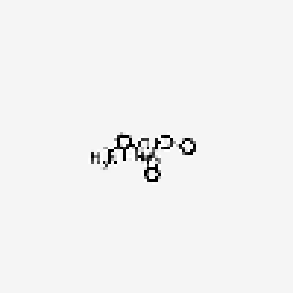 CC(N)c1cccc(C(=O)N[C@H]2c3ccccc3C[C@H]2CN2CCC(c3ccccc3)C2)c1